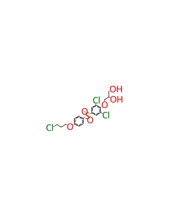 O=S(=O)(c1ccc(OCCCCl)cc1)c1cc(Cl)c(OCC(O)CO)c(Cl)c1